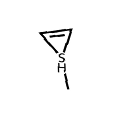 C[SH]1C=C1